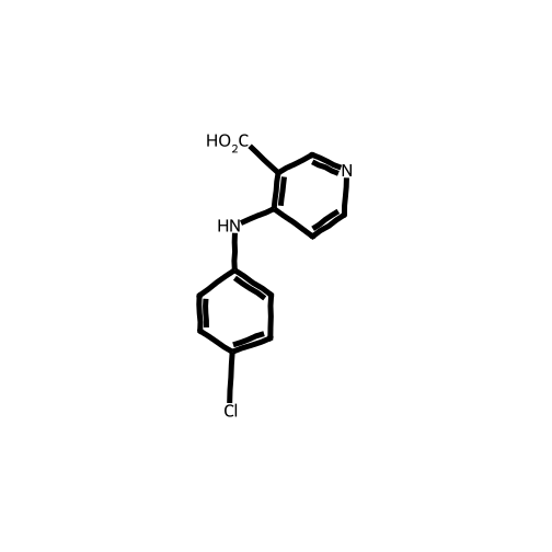 O=C(O)c1cnccc1Nc1ccc(Cl)cc1